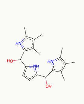 Cc1[nH]c(C(O)c2ccc(C(O)c3[nH]c(C)c(C)c3C)[nH]2)c(C)c1C